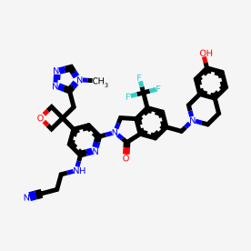 Cn1cnnc1CC1(c2cc(NCCC#N)nc(N3Cc4c(cc(CN5CCc6ccc(O)cc6C5)cc4C(F)(F)F)C3=O)c2)COC1